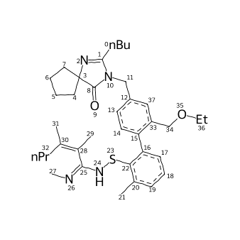 CCCCC1=NC2(CCCC2)C(=O)N1Cc1ccc(-c2cccc(C)c2SNC(=N/C)/C(C)=C(/C)CCC)c(COCC)c1